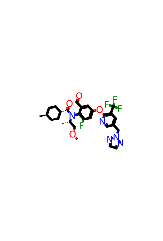 COC[C@H](C)N(c1c(F)cc(Oc2ncc(Cn3nccn3)cc2C(F)(F)F)cc1C=O)C(=O)[C@H]1CC[C@H](C)CC1